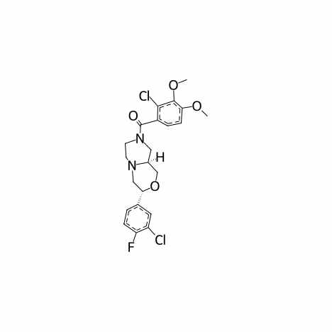 COc1ccc(C(=O)N2CCN3C[C@@H](c4ccc(F)c(Cl)c4)OC[C@@H]3C2)c(Cl)c1OC